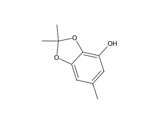 Cc1cc(O)c2c(c1)OC(C)(C)O2